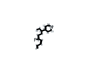 C=C/C=C\C(F)=C/CC(CC)C1=CC=NCC1